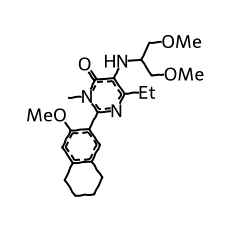 CCc1nc(-c2cc3c(cc2OC)CCCC3)n(C)c(=O)c1NC(COC)COC